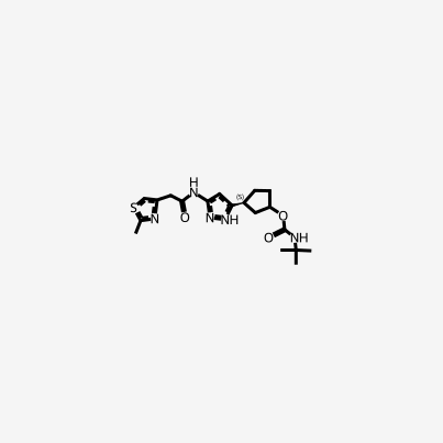 Cc1nc(CC(=O)Nc2cc([C@H]3CCC(OC(=O)NC(C)(C)C)C3)[nH]n2)cs1